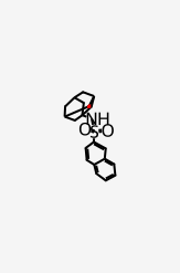 O=S(=O)(NC12CC3CC(CC(C3)C1)C2)c1ccc2ccccc2c1